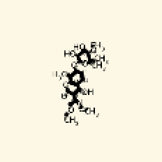 CCOCC(=NOC)c1c(O)c2ccc(O[C@@H]3OC(C)(C)[C@H](OC)[C@H](O)[C@H]3O)c(C)c2oc1=O